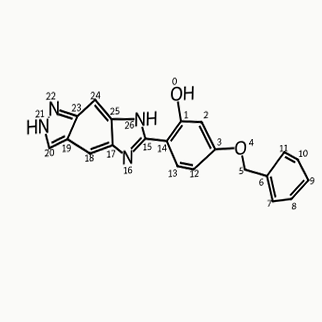 Oc1cc(OCc2ccccc2)ccc1-c1nc2cc3c[nH]nc3cc2[nH]1